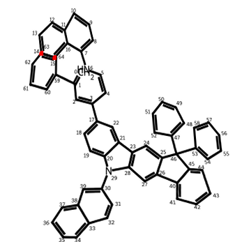 C=C(/C=C(\C=C/Nc1cccc2ccccc12)c1ccc2c(c1)c1cc3c(cc1n2-c1ccc2ccccc2c1)-c1ccccc1C3(c1ccccc1)c1ccccc1)c1ccccc1